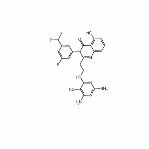 N#Cc1c(N)nc(N)nc1NCCc1nc2cccc(C#N)c2c(=O)n1-c1cc(F)cc(C(F)F)c1